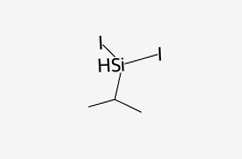 CC(C)[SiH](I)I